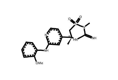 COc1ccccc1Nc1cc([C@]2(C)CS(=O)(=O)N(C)C(=N)N2)ccn1